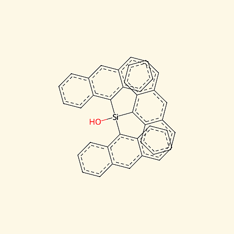 O[Si](c1c2ccccc2cc2ccccc12)(c1c2ccccc2cc2ccccc12)c1c2ccccc2cc2ccccc12